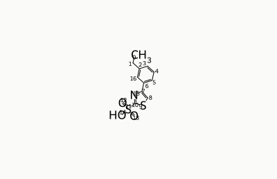 CCc1cccc(-c2csc(S(=O)(=O)O)n2)c1